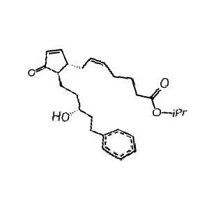 CC(C)OC(=O)CCC/C=C\C[C@H]1C=CC(=O)[C@@H]1CC[C@@H](O)CCc1ccccc1